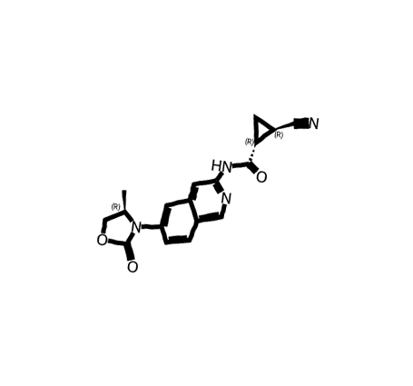 C[C@@H]1COC(=O)N1c1ccc2cnc(NC(=O)[C@@H]3C[C@H]3C#N)cc2c1